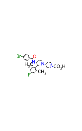 Cc1cc(F)ccc1C1CN(C2CCN(C(=O)O)CC2)CCC1N(C)C(=O)c1ccc(Br)cc1